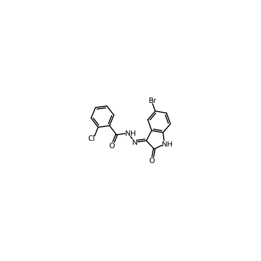 O=C1Nc2ccc(Br)cc2/C1=N\NC(=O)c1ccccc1Cl